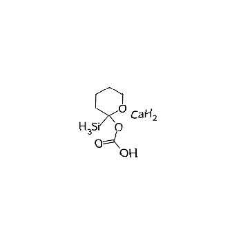 O=C(O)OC1([SiH3])CCCCO1.[CaH2]